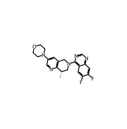 C[C@H]1CN(c2ncnc3cc(F)c(F)cc23)Cc2cc(N3CCOCC3)cnc21